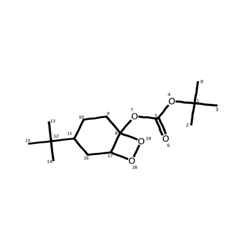 CC(C)(C)OC(=O)OC12CCC(C(C)(C)C)CC1OO2